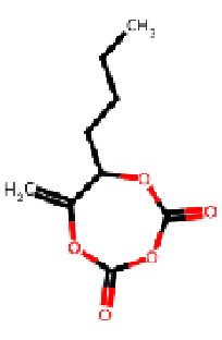 C=C1OC(=O)OC(=O)OC1CCCC